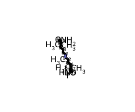 C/C(=C\CCCC(C)(C)C(N)=O)CCCC(C)(C)C(=O)NI